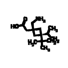 CC(C)[C@]1(C(C)(C)C)C[C@](CN)(CC(=O)O)C1